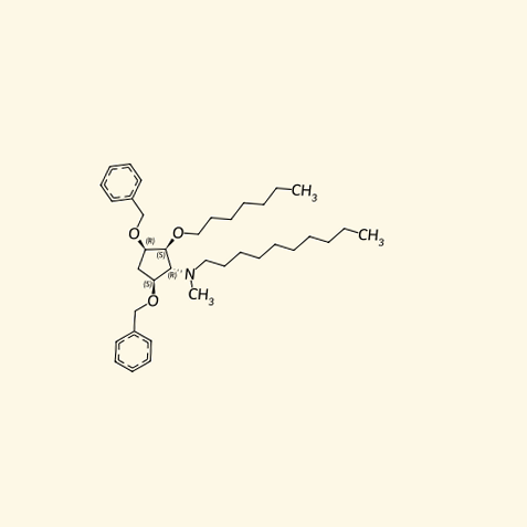 CCCCCCCCCCN(C)[C@H]1[C@H](OCCCCCCC)[C@H](OCc2ccccc2)C[C@@H]1OCc1ccccc1